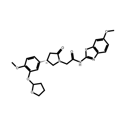 COc1ccc2nc(NC(=O)CN3C[C@H](c4ccc(OC)c(OC5CCCO5)c4)CC3=O)sc2c1